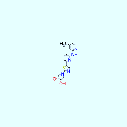 Cc1ccnc(Nc2cccc(-c3cnc(N4C[C@@H](O)[C@@H](O)C4)s3)n2)c1